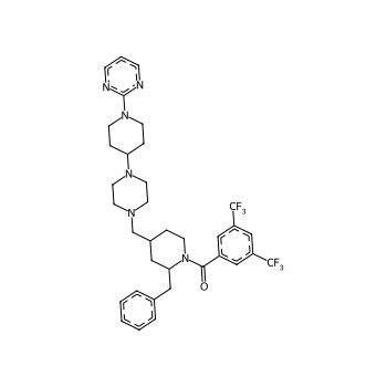 O=C(c1cc(C(F)(F)F)cc(C(F)(F)F)c1)N1CCC(CN2CCN(C3CCN(c4ncccn4)CC3)CC2)CC1Cc1ccccc1